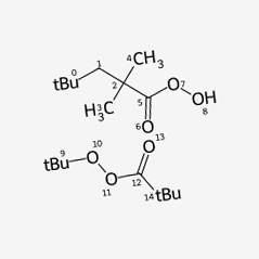 CC(C)(C)CC(C)(C)C(=O)OO.CC(C)(C)OOC(=O)C(C)(C)C